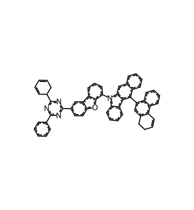 C1=CCC(c2nc(-c3ccccc3)nc(-c3ccc4oc5c(-n6c7ccccc7c7c(-c8cc9c(c%10ccccc8%10)C=CCC9)c8ccccc8cc76)cccc5c4c3)n2)C=C1